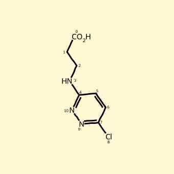 O=C(O)CCNc1ccc(Cl)nn1